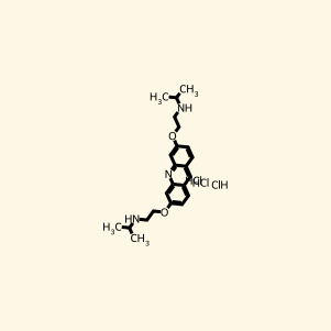 CC(C)NCCOc1ccc2cc3ccc(OCCNC(C)C)cc3nc2c1.Cl.Cl.Cl